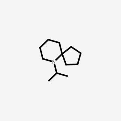 CC(C)N1CCCCC12CCCC2